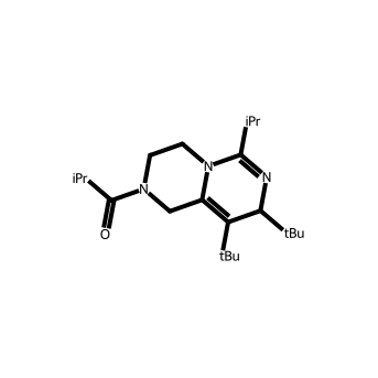 CC(C)C(=O)N1CCN2C(C(C)C)=NC(C(C)(C)C)C(C(C)(C)C)=C2C1